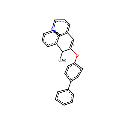 CC(=O)OC(/C(=C\c1cccnc1)Oc1ccc(-c2ccccc2)cc1)c1ccccc1